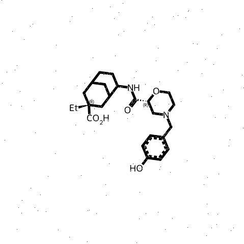 CC[C@@]1(C(=O)O)CC2CCC(NC(=O)[C@H]3CN(Cc4ccc(O)cc4)CCO3)C(C2)C1